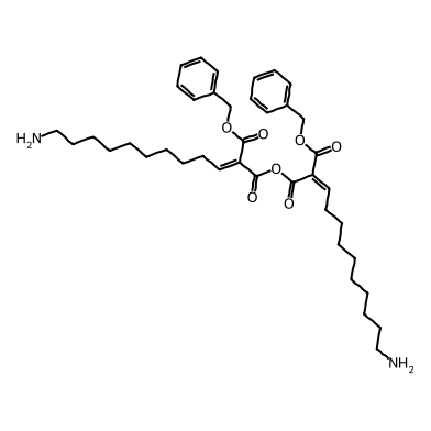 NCCCCCCCCCC=C(C(=O)OCc1ccccc1)C(=O)OC(=O)C(=CCCCCCCCCCN)C(=O)OCc1ccccc1